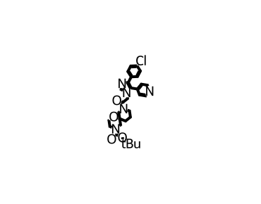 CC(C)(C)OC(=O)N1CCOC2(CCCN(C(=O)Cn3cnc(-c4ccc(Cl)cc4)c3-c3ccncc3)C2)C1